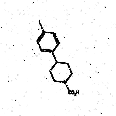 O=C(O)N1CCC(c2ccc(I)cc2)CC1